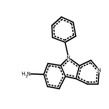 Nc1ccc2c3ccncc3n(-c3ccccc3)c2c1